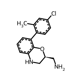 Cc1cc(Cl)ccc1-c1cccc2c1O[C@@H](CN)CN2